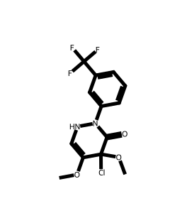 COC1=CNN(c2cccc(C(F)(F)F)c2)C(=O)C1(Cl)OC